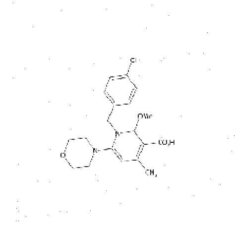 COC1C(C(=O)O)=C(C)C=C(N2CCOCC2)N1Cc1ccc(Cl)cc1